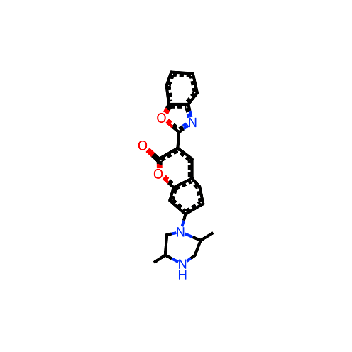 CC1CN(c2ccc3cc(-c4nc5ccccc5o4)c(=O)oc3c2)C(C)CN1